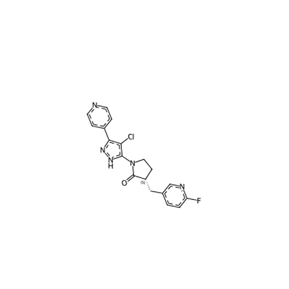 O=C1[C@@H](Cc2ccc(F)nc2)CCN1c1[nH]nc(-c2ccncc2)c1Cl